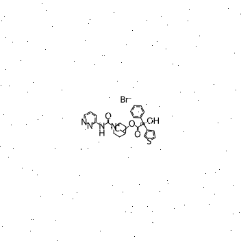 O=C(OC1C[N+]2(C(=O)Nc3cccnn3)CCC1CC2)[C@@](O)(c1ccccc1)c1ccsc1.[Br-]